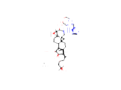 CC(=O)O[C@@H](C1C[C@@H](C)[C@H]2C(O1)[C@H](O)[C@@]1(C)C3CC[C@H]4C(C)(C)C(O[C@H]5CN(Cc6ncc[nH]6)CCO5)CCC45CC35CCC21C)C(C)(C)O